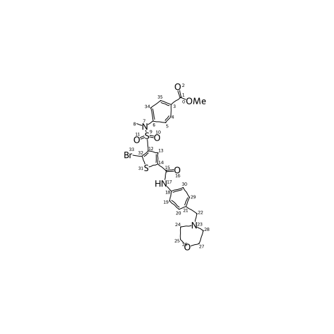 COC(=O)c1ccc(N(C)S(=O)(=O)c2cc(C(=O)Nc3ccc(CN4CCOCC4)cc3)sc2Br)cc1